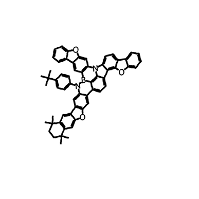 CC(C)(C)c1ccc(N2B3c4cc5c(cc4-n4c6ccc7c8ccccc8oc7c6c6ccc(c3c64)-c3cc4oc6cc7c(cc6c4cc32)C(C)(C)CCC7(C)C)oc2ccccc25)cc1